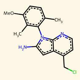 COc1ccc(C)c(-n2c(N)cc3c(CCl)ccnc32)c1C